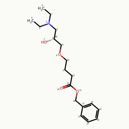 CCN(CC)C[C@@H](O)COCCCC(=O)OCc1ccccc1